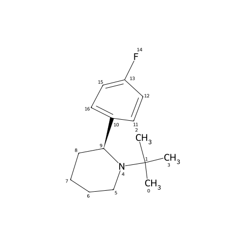 CC(C)(C)N1CCCC[C@H]1c1ccc(F)cc1